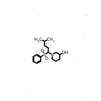 CC(C)CCC(N1CCCC(O)C1)S(=O)(=O)c1ccccc1